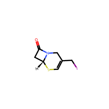 O=C1C[C@H]2SC=C(CI)CN12